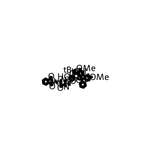 COc1ccc(C(OC[C@H]2O[C@@H](n3cnc4c(=O)n(CCN5C(=O)c6ccccc6C5=O)cnc43)[C@H](O)[C@@H]2O[Si](C)(C)C(C)(C)C)(c2ccccc2)c2ccc(OC)cc2)cc1